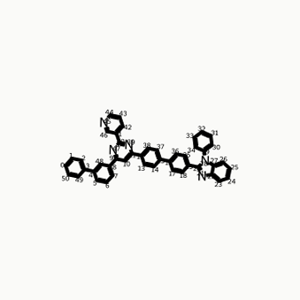 c1ccc(-c2cccc(-c3cc(-c4ccc(-c5ccc(-c6nc7ccccc7n6-c6ccccc6)cc5)cc4)nc(-c4cccnc4)n3)c2)cc1